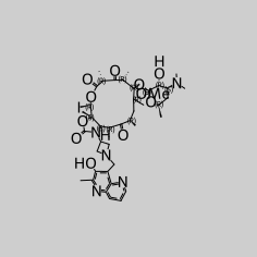 CO[C@]1(C)C[C@@H](C)C(=O)[C@H](C)[C@@H]2N(C3CN(Cc4c(O)c(C)nc5cccnc45)C3)C(=O)O[C@]2(C)[C@@H](I)OC(=O)[C@H](C)C(=O)[C@H](C)[C@H]1O[C@@H]1O[C@H](C)C[C@H](N(C)C)[C@H]1O